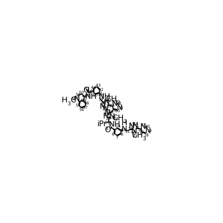 CC(C)C(NC(=O)c1cccc(NCc2nnc(-c3ccncn3)n2C)c1)c1nnc(-c2cncnc2-c2nnc(CNc3cccc(C(=O)NC4CCN(C)c5ccccc54)c3)n2C)n1C